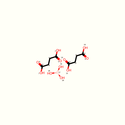 O=C(O)CCC(=O)O.O=C(O)CCC(=O)O.OB(O)O